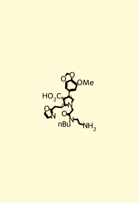 CCCCN(CCN)C(=O)CN1C[C@H](c2cc(OC)c3c(c2)OCO3)[C@@H](C(=O)O)[C@@H]1CCc1ncco1